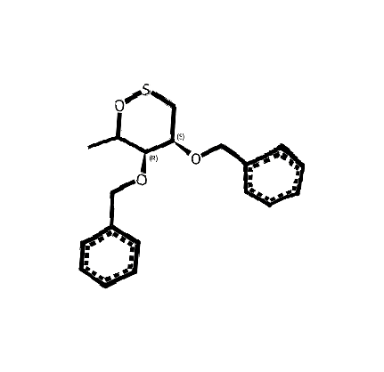 CC1OSC[C@@H](OCc2ccccc2)[C@H]1OCc1ccccc1